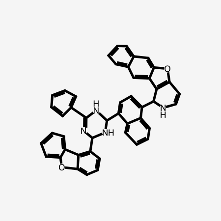 C1=Cc2oc3cc4ccccc4cc3c2C(c2ccc(C3NC(c4ccccc4)=NC(c4cccc5oc6ccccc6c45)N3)c3ccccc23)N1